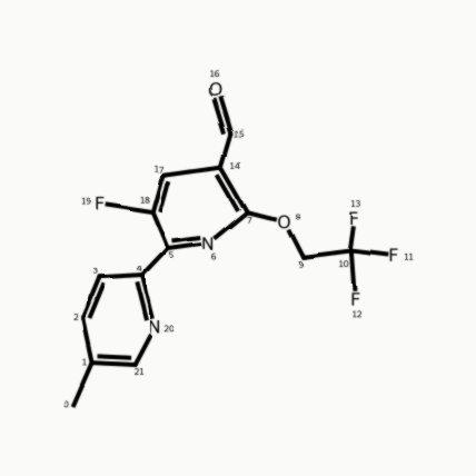 Cc1ccc(-c2nc(OCC(F)(F)F)c(C=O)cc2F)nc1